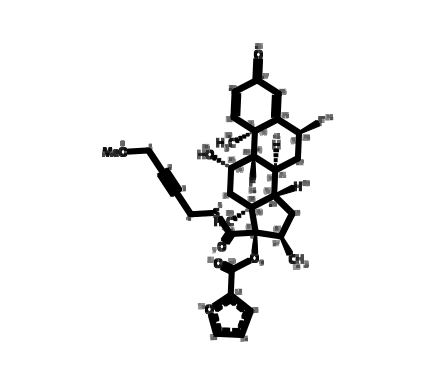 COCC#CCSC(=O)[C@@]1(OC(=O)c2ccco2)[C@H](C)C[C@H]2[C@@H]3C[C@H](F)C4=CC(=O)C=C[C@]4(C)[C@@]3(F)[C@@H](O)C[C@@]21C